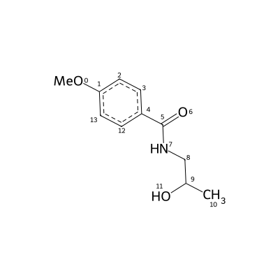 COc1ccc(C(=O)NCC(C)O)cc1